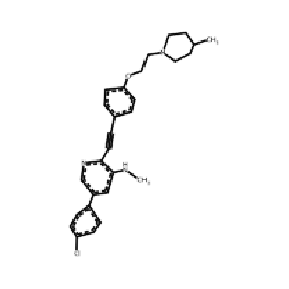 CNc1cc(-c2ccc(Cl)cc2)cnc1C#Cc1ccc(OCCN2CCC(C)CC2)cc1